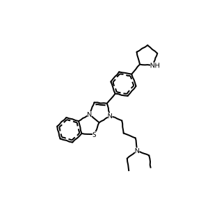 CCN(CC)CCCN1C(c2ccc(C3CCCN3)cc2)=CN2c3ccccc3SC12